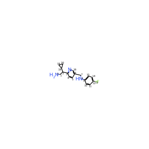 NCC(c1ccc(CNc2ccc(F)cc2)cn1)C1CC1